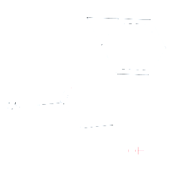 COC(=O)CCO.c1ccc2c(c1)C2